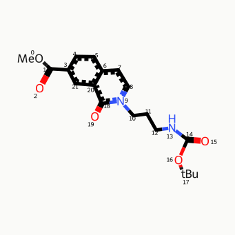 COC(=O)c1ccc2ccn(CCCNC(=O)OC(C)(C)C)c(=O)c2c1